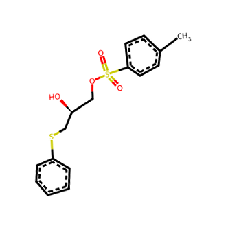 Cc1ccc(S(=O)(=O)OC[C@H](O)CSc2ccccc2)cc1